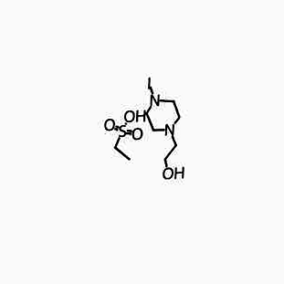 CCS(=O)(=O)O.OCCN1CCN(I)CC1